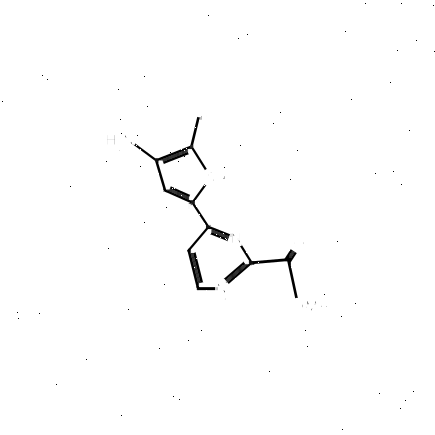 COC(=O)c1nccc(-c2cc(N)c(C)s2)n1